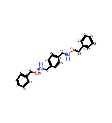 c1ccc(CONCc2ccc(CNOCc3ccccc3)cc2)cc1